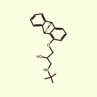 CC(C)(C)NCC(O)COc1cccc2c1C1CCC2c2ccccc21